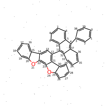 c1ccc(-c2c3ccccc3c(-c3cc4c5ccccc5oc4c4oc5ccccc5c34)c3ccccc23)cc1